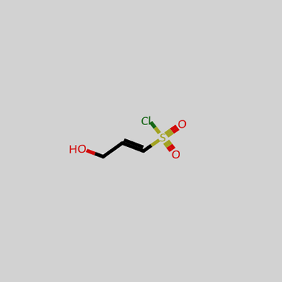 O=S(=O)(Cl)/C=C/CO